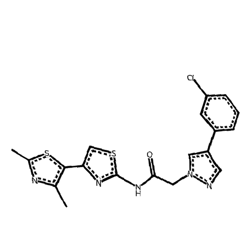 Cc1nc(C)c(-c2csc(NC(=O)Cn3cc(-c4cccc(Cl)c4)cn3)n2)s1